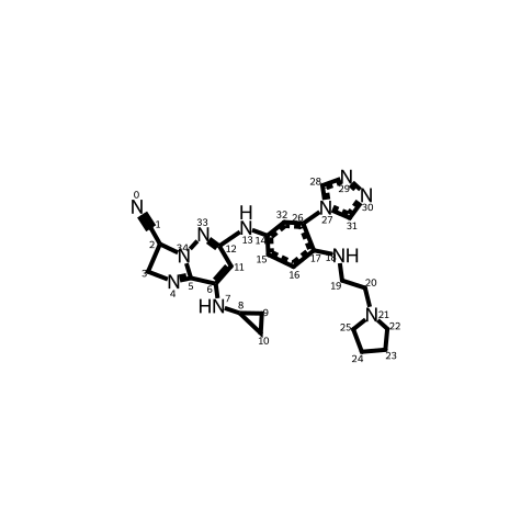 N#CC1CN=C2C(NC3CC3)=CC(Nc3ccc(NCCN4CCCC4)c(-n4cnnc4)c3)=NN21